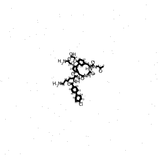 CC(=O)CNC(=O)C1Cc2ccc(OCC(=O)O)c(c2)-c2cc(ccc2OCCN)C(N(C)C(=O)C(CCCCN)NC(=O)c2ccc(-c3ccc(Cl)cc3)cc2)C(=O)NCC(=O)N1